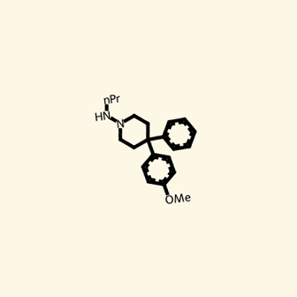 CCCNN1CCC(c2ccccc2)(c2ccc(OC)cc2)CC1